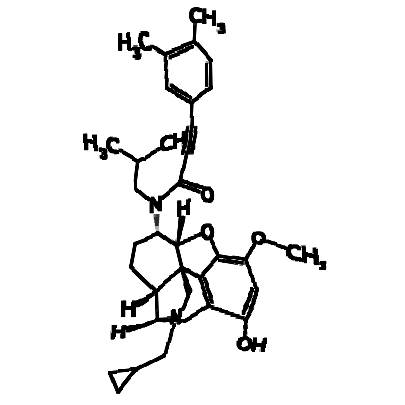 COc1cc(O)c2c3c1O[C@H]1[C@@H](N(CC(C)C)C(=O)C#Cc4ccc(C)c(C)c4)CC[C@H]4[C@@H](C2)N(CC2CC2)CC[C@@]341